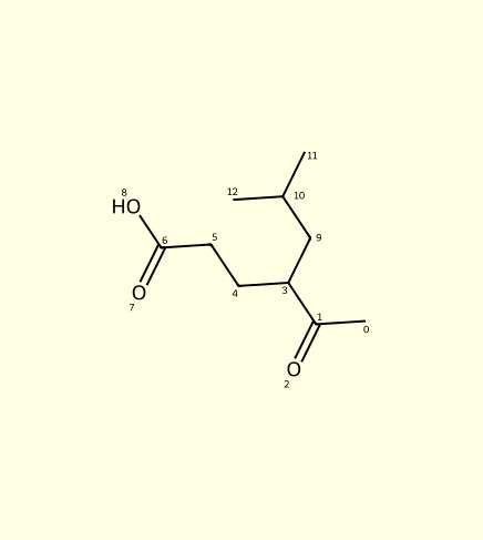 CC(=O)C(CCC(=O)O)CC(C)C